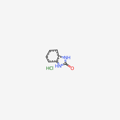 Cl.O=c1[nH]c2ccccc2[nH]1